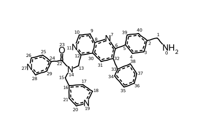 NCc1ccc(-c2nc3ccnc(CN(Cc4ccncc4)C(=O)c4ccncc4)c3cc2-c2ccccc2)cc1